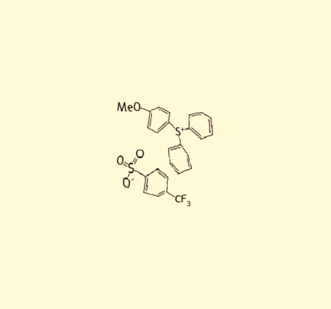 COc1ccc([S+](c2ccccc2)c2ccccc2)cc1.O=S(=O)([O-])c1ccc(C(F)(F)F)cc1